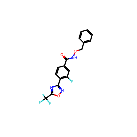 O=C(NOCc1ccccc1)c1ccc(-c2noc(C(F)(F)F)n2)c(F)c1